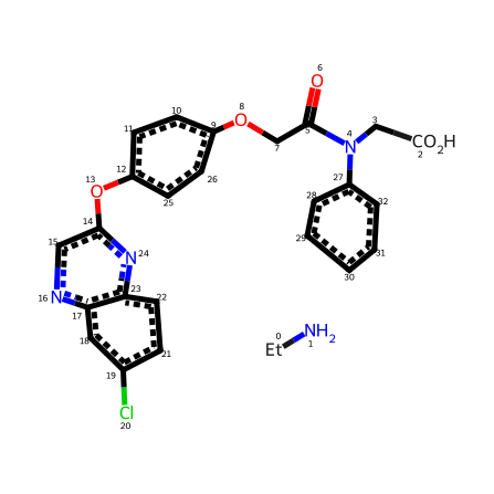 CCN.O=C(O)CN(C(=O)COc1ccc(Oc2cnc3cc(Cl)ccc3n2)cc1)c1ccccc1